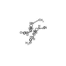 CCCCCCCNC1CCCN(S(=O)(=O)c2ccc(CNC(=O)c3ccc(Cl)cc3)s2)CC1.COc1cccc(C(=O)NCc2ccc(S(=O)(=O)N3CCCC(NCCCn4ccnc4)CC3)s2)c1